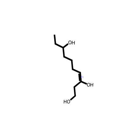 CCC(O)CCC/C=C(/O)CCO